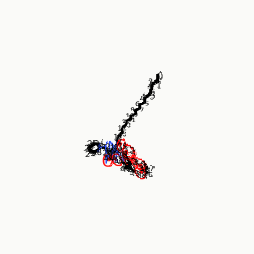 CCCCCCCCC=CCCCCCCCC(=O)NC(CCc1ccccc1)(CNC(=O)C1OC(C)(C)OCC1(C)C)C(=O)O